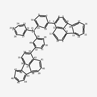 c1cc(-c2ccc3c4c(cccc24)-c2ccccc2-3)cc(N(c2ccncc2)c2cccc(-c3ccc4c5c(cccc35)-c3ccccc3-4)c2)c1